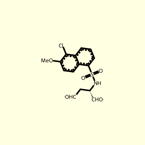 COc1ccc2c(S(=O)(=O)N[C@H]([C]=O)C[C]=O)cccc2c1Cl